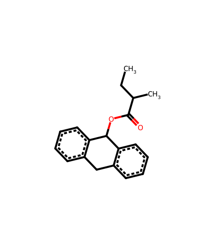 CCC(C)C(=O)OC1c2ccccc2Cc2ccccc21